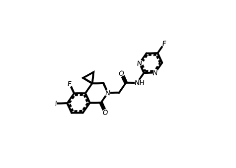 O=C(CN1CC2(CC2)c2c(ccc(I)c2F)C1=O)Nc1ncc(F)cn1